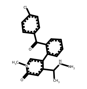 CC(NN)c1cc(=O)n(C)cc1-c1ccccc1C(=O)c1ccc(Cl)cc1